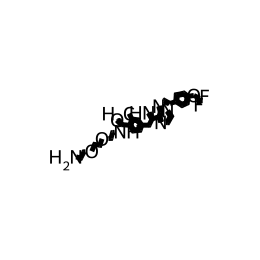 Cc1cc(CC(=N)c2nccn3c(-c4ccc(OC(F)F)cc4)cnc23)ccc1C(=O)NCCOCCOCCN